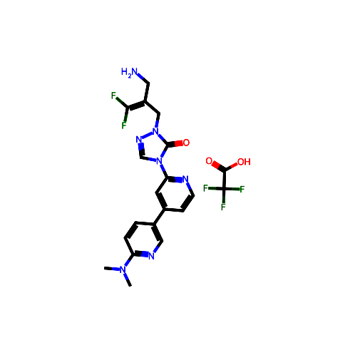 CN(C)c1ccc(-c2ccnc(-n3cnn(CC(CN)=C(F)F)c3=O)c2)cn1.O=C(O)C(F)(F)F